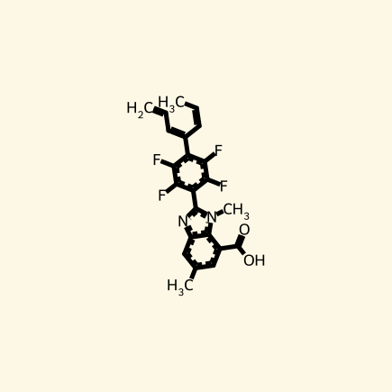 C=C/C=C(\C=C/C)c1c(F)c(F)c(-c2nc3cc(C)cc(C(=O)O)c3n2C)c(F)c1F